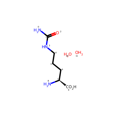 NC(=O)NCCC[C@H](N)C(=O)O.O.O